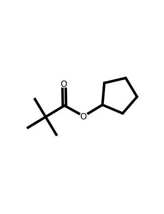 CC(C)(C)C(=O)OC1CCCC1